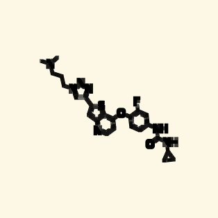 CN(C)CCCn1cc(-c2cc3nccc(Oc4ccc(NC(=O)NC5CC5)cc4F)c3s2)nn1